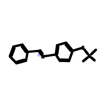 C[Si](C)(C)Sc1ccc(/N=C/c2ccccc2)cc1